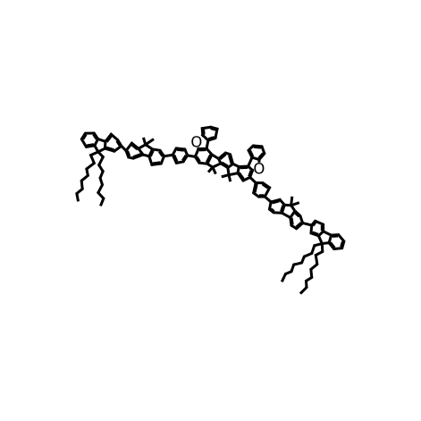 CCCCCCCCC1(CCCCCCCC)c2ccccc2-c2ccc(-c3ccc4c(c3)C(C)(C)c3cc(-c5ccc(-c6cc7c(c8c6oc6ccccc68)-c6ccc8c(c6C7(C)C)C(C)(C)c6cc(-c7ccc(-c9ccc%10c(c9)C(C)(C)c9cc(-c%11ccc%12c(c%11)C(CCCCCCCC)(CCCCCCCC)c%11ccccc%11-%12)ccc9-%10)cc7)c7oc9ccccc9c7c6-8)cc5)ccc3-4)cc21